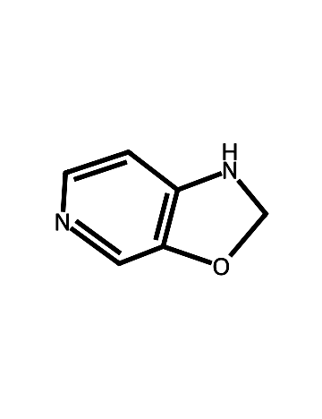 c1cc2c(cn1)OCN2